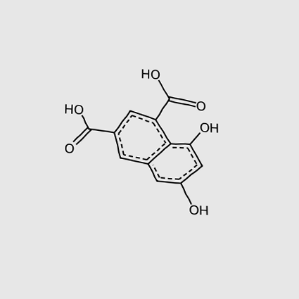 O=C(O)c1cc(C(=O)O)c2c(O)cc(O)cc2c1